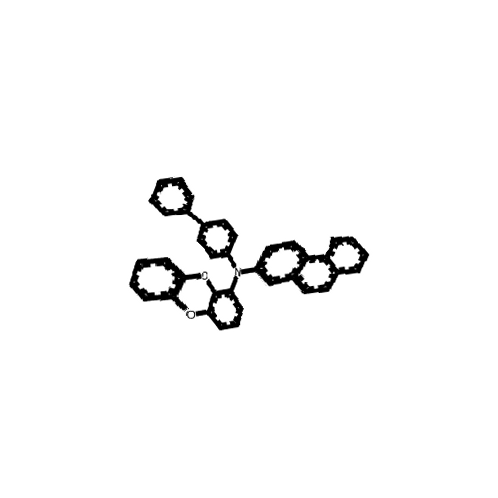 c1ccc(-c2ccc(N(c3ccc4c(ccc5ccccc54)c3)c3cccc4c3Oc3ccccc3O4)cc2)cc1